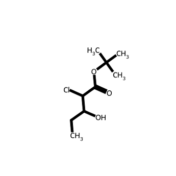 CCC(O)C(Cl)C(=O)OC(C)(C)C